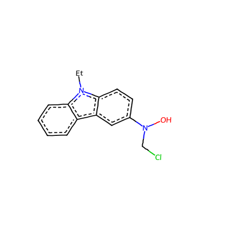 CCn1c2ccccc2c2cc(N(O)CCl)ccc21